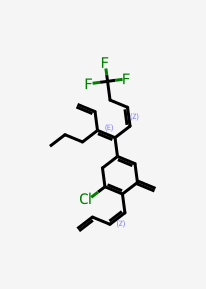 C=C/C=C\C1=C(Cl)CC(C(/C=C\CC(F)(F)F)=C(/C=C)CCC)=CC1=C